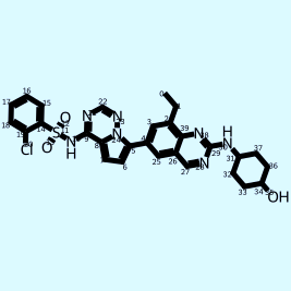 CCc1cc(-c2ccc3c(NS(=O)(=O)c4ccccc4Cl)ncnn23)cc2cnc(NC3CCC(O)CC3)nc12